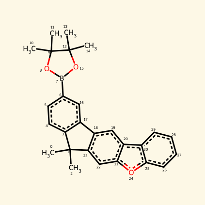 CC1(C)c2ccc(B3OC(C)(C)C(C)(C)O3)cc2-c2cc3c(cc21)oc1ccccc13